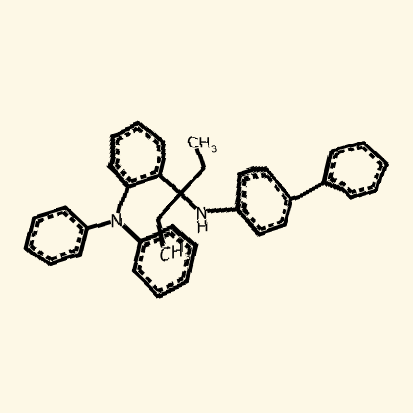 CCC(CC)(Nc1ccc(-c2ccccc2)cc1)c1ccccc1N(c1ccccc1)c1ccccc1